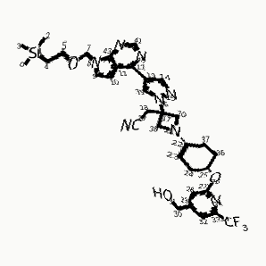 C[Si](C)(C)CCOCn1ccc2c(-c3cnn(C4(CC#N)CN([C@H]5CC[C@@H](Oc6cc(CO)cc(C(F)(F)F)n6)CC5)C4)c3)ncnc21